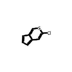 Clc1cc2[c]ccc-2cs1